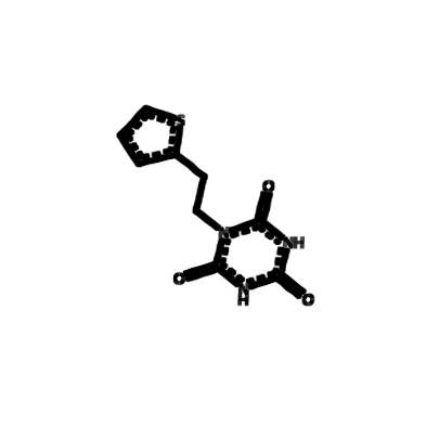 O=c1[nH]c(=O)n(CCc2cccs2)c(=O)[nH]1